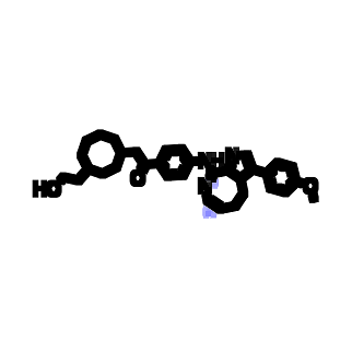 COc1ccc(C2=CN=C3/C(Nc4ccc(C(=O)CC5CCCCC(CCO)CC5)cc4)=N\C=C/CCC23)cc1